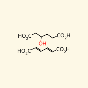 O=C(O)C=CC=CC(=O)O.O=C(O)CCC(O)CC(=O)O